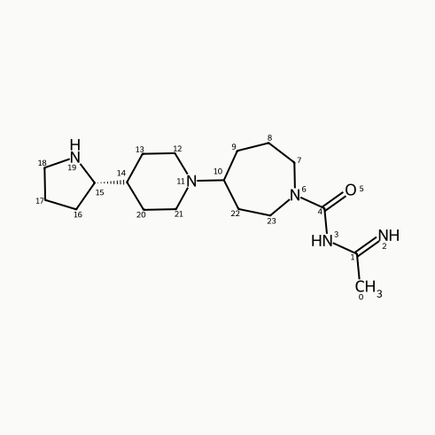 CC(=N)NC(=O)N1CCCC(N2CCC([C@@H]3CCCN3)CC2)CC1